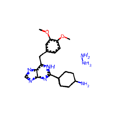 COc1ccc(Cc2[nH]c(C3CCC(N)CC3)nc3ncnc2-3)cc1OC.NN